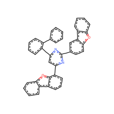 c1ccc(-c2ccccc2-c2cc(-c3cccc4c3oc3ccccc34)nc(-c3ccc4oc5ccccc5c4c3)n2)cc1